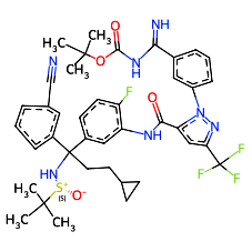 CC(C)(C)OC(=O)NC(=N)c1cccc(-n2nc(C(F)(F)F)cc2C(=O)Nc2cc(C(CCC3CC3)(N[S@+]([O-])C(C)(C)C)c3cccc(C#N)c3)ccc2F)c1